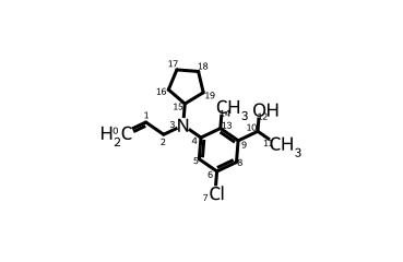 C=CCN(c1cc(Cl)cc(C(C)O)c1C)C1CCCC1